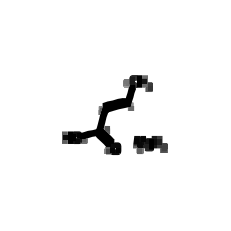 CC=CC(=O)O.[MgH2]